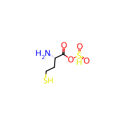 N[C@@H](CCS)C(=O)O[SH](=O)=O